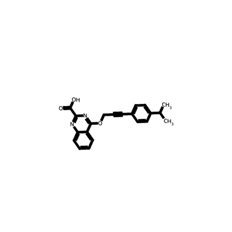 CC(C)c1ccc(C#CCOc2nc(C(=O)O)nc3ccccc23)cc1